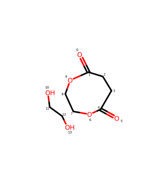 O=C1CCC(=O)OCCO1.OCCO